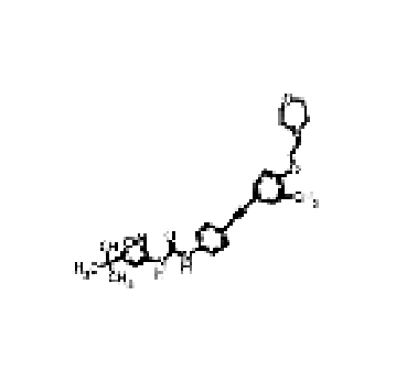 Cc1cc(C#Cc2ccc(NC(=O)Nc3cc(C(C)(C)C)on3)cc2)ccc1OCCN1CCOCC1